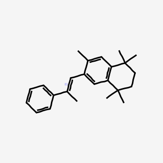 C/C(=C\c1cc2c(cc1C)C(C)(C)CCC2(C)C)c1ccccc1